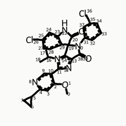 COc1cc(C2CC2)ncc1-c1nc2c(n1C(C)C)C1(C(=O)Nc3cc(Cl)ccc31)N(c1cccc(Cl)c1)C2=O